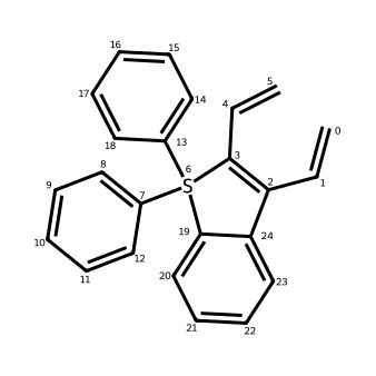 C=CC1=C(C=C)S(c2ccccc2)(c2ccccc2)c2ccccc21